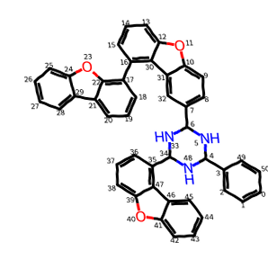 c1ccc(C2NC(c3ccc4oc5cccc(-c6cccc7c6oc6ccccc67)c5c4c3)NC(c3cccc4oc5ccccc5c34)N2)cc1